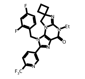 CCN1C(=O)c2nc(-c3ccc(C(F)(F)F)nc3)n(Cc3ccc(F)cc3F)c2N2CC3(CCC3)N=C12